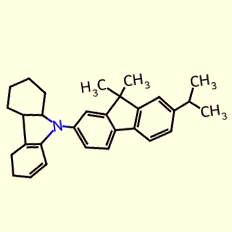 CC(C)c1ccc2c(c1)C(C)(C)c1cc(N3C4=C(CCC=C4)C4CCCCC43)ccc1-2